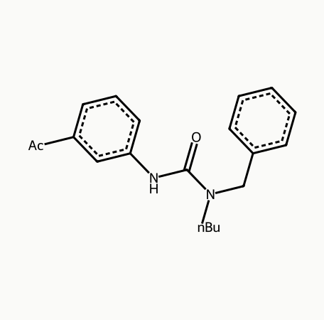 CCCCN(Cc1ccccc1)C(=O)Nc1cccc(C(C)=O)c1